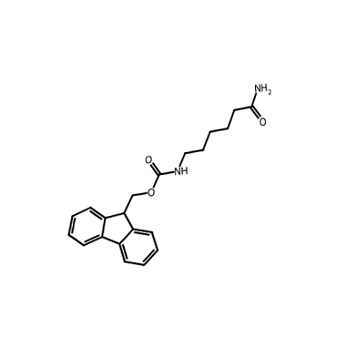 NC(=O)CCCCCNC(=O)OCC1c2ccccc2-c2ccccc21